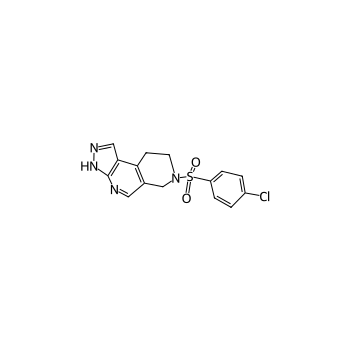 O=S(=O)(c1ccc(Cl)cc1)N1CCc2c(cnc3[nH]ncc23)C1